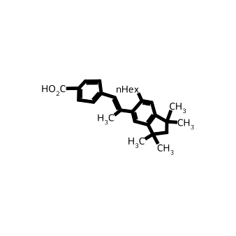 CCCCCCc1cc2c(cc1C(C)=Cc1ccc(C(=O)O)cc1)C(C)(C)CC2(C)C